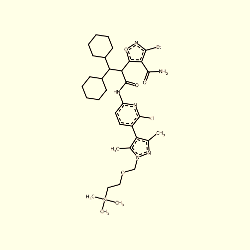 CCc1noc(C(C(=O)Nc2ccc(-c3c(C)nn(COCC[Si](C)(C)C)c3C)c(Cl)n2)C(C2CCCCC2)C2CCCCC2)c1C(N)=O